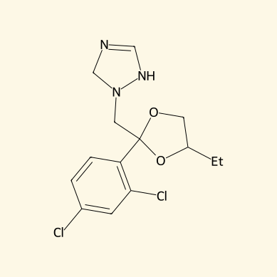 CCC1COC(CN2CN=CN2)(c2ccc(Cl)cc2Cl)O1